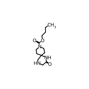 CCCCOC(=O)N1CCC2(CC1)CNCC(=O)N2